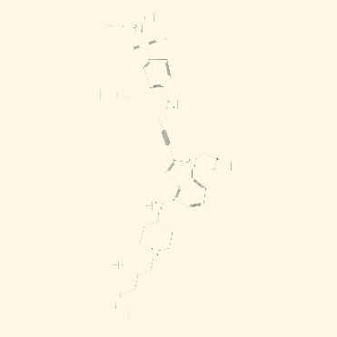 COCC(O)CN1CCC(Nc2cccc3c2cc(C#CCNc2ccc(S(=O)(=O)N(C)C)cc2OC)n3CC(F)(F)F)CC1